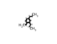 C=Cc1ccc(CCC)cc1CCC